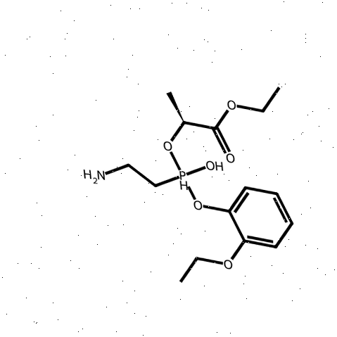 CCOC(=O)[C@H](C)O[PH](O)(CCN)Oc1ccccc1OCC